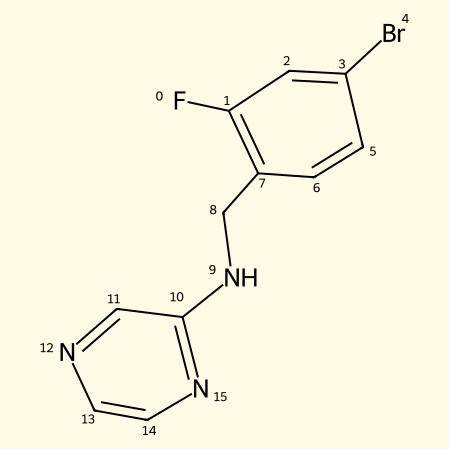 Fc1cc(Br)ccc1CNc1cnccn1